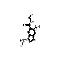 CCOC(=O)c1cc2c(cnn2PI)cc1O